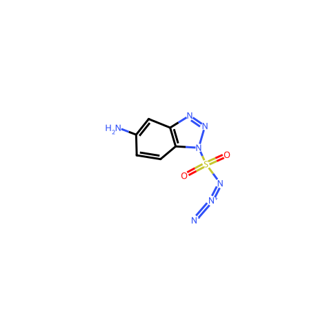 [N-]=[N+]=NS(=O)(=O)n1nnc2cc(N)ccc21